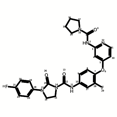 O=C(Nc1cc(Oc2ccc(NC(=O)N3CCN(c4ccc(F)cc4)C3=O)cc2F)ccn1)N1CCCC1